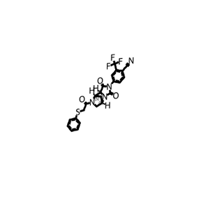 N#Cc1ccc(N2C(=O)[C@@H]3[C@@H]4C[C@@H](CN4C(=O)CSc4ccccc4)N3C2=O)cc1C(F)(F)F